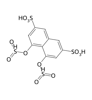 O=[SH](=O)Oc1cc(S(=O)(=O)O)cc2cc(S(=O)(=O)O)cc(O[SH](=O)=O)c12